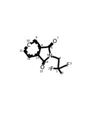 [CH2]C(F)(F)CN1C(=O)c2ccccc2C1=O